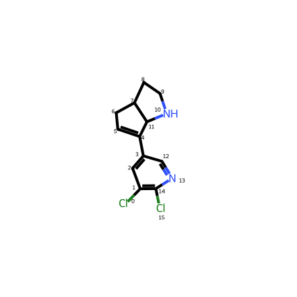 Clc1cc(C2=CCC3CCNC23)cnc1Cl